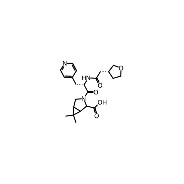 CC1(C)C2CN(C(=O)[C@H](Cc3ccncc3)NC(=O)C[C@H]3CCOC3)C(C(=O)O)C21